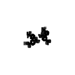 COC(=O)C1CCN(C(=O)OC)C(c2cccc(C(F)(F)F)c2)C1.COC(=O)N1CCC(C(=O)O)CC1c1cccc(C(F)(F)F)c1